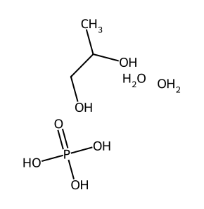 CC(O)CO.O.O.O=P(O)(O)O